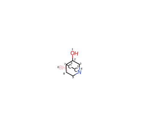 B.OC1CN2CCC1CC2